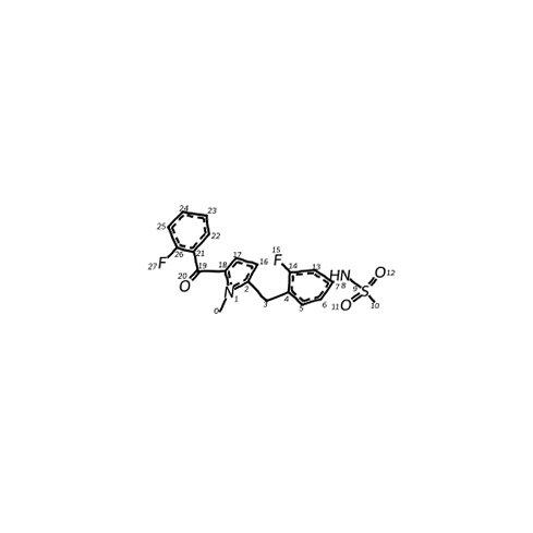 Cn1c(Cc2ccc(NS(C)(=O)=O)cc2F)ccc1C(=O)c1ccccc1F